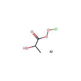 CC(O)C(=O)OOCl.[Al]